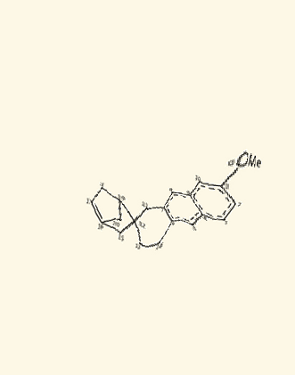 COc1ccc2cc3c(cc2c1)CC1(CC3)CC2=CCC1C2